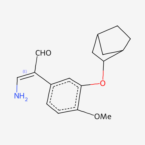 COc1ccc(/C(C=O)=C\N)cc1OC1CC2CCC1C2